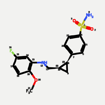 NS(=O)(=O)c1ccc([C@@H]2C[C@H]2CNc2cc(F)ccc2OC(F)(F)F)cc1